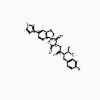 C[C@H](N(Cc1ccc(F)cc1)C(=O)CN1C(=O)O[C@@]2(CCc3cc(-c4ccoc4)ccc32)C1=O)C(F)(F)F